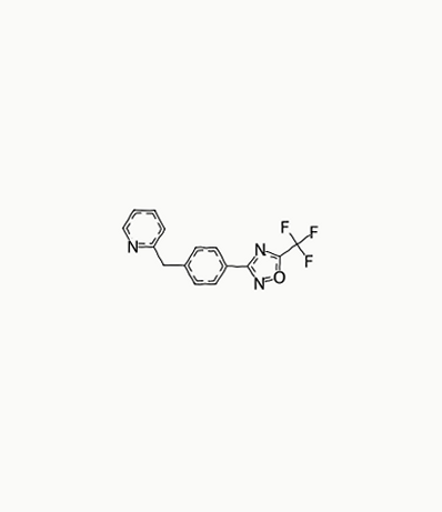 FC(F)(F)c1nc(-c2ccc(Cc3ccccn3)cc2)no1